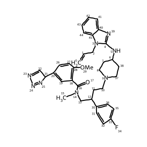 C=CCn1c(NC2CCN(CCC(CN(C)C(=O)c3cc(C4C=NN=N4)ccc3OC)c3ccc(F)cc3)CC2)nc2ccccc21